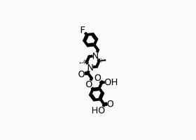 C[C@@H]1CN(Cc2ccc(F)cc2)[C@@H](C)CN1C(=O)COc1ccc(C(=O)O)cc1C(=O)O